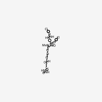 CNN(CCOCCOCCOCCNC(=O)CCCC[C@@H]1SCC2NC(=O)NC21)CC(CN(C(=O)COc1ccc(Cl)cc1)[C@H]1CC[C@H](NC(=N)COc2ccc(Cl)cc2)CC1)N=O